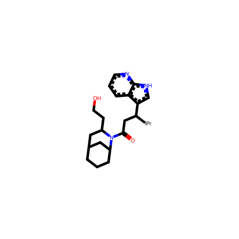 CC(C)C(CC(=O)N1C(CCO)CC2CCCC1C2)c1c[nH]c2ncccc12